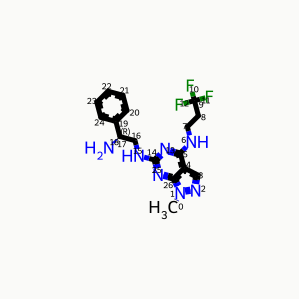 Cn1ncc2c(NCCC(F)(F)F)nc(NC[C@H](N)c3ccccc3)nc21